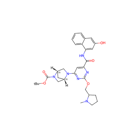 CN1CCCC1COc1nc(C(=O)Nc2cc(O)cc3ccccc23)cc(N2C[C@@H]3C[C@H]2CN3C(=O)OC(C)(C)C)n1